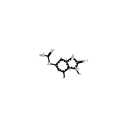 Cc1cc(OC(=O)O)cc2oc(=O)n(C)c12